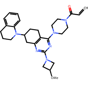 C=CC(=O)N1CCN(c2nc(N3CC(OC)C3)nc3c2CCC(N2CCCc4ccccc42)C3)CC1